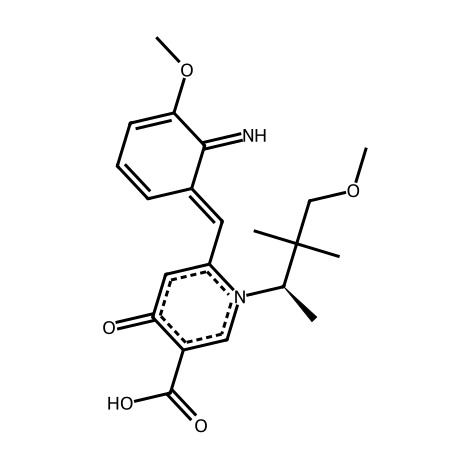 COCC(C)(C)[C@@H](C)n1cc(C(=O)O)c(=O)cc1/C=C1\C=CC=C(OC)C1=N